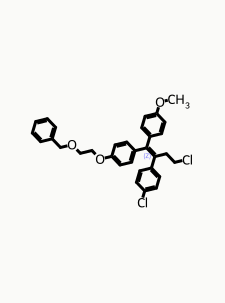 COc1ccc(/C(=C(\CCCl)c2ccc(Cl)cc2)c2ccc(OCCOCc3ccccc3)cc2)cc1